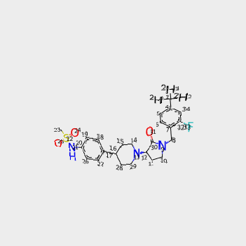 [2H]C([2H])([2H])c1ccc(CN2CC[C@@H](N3CCC(c4ccc(NS(C)(=O)=O)cc4)CC3)C2=O)c(F)c1